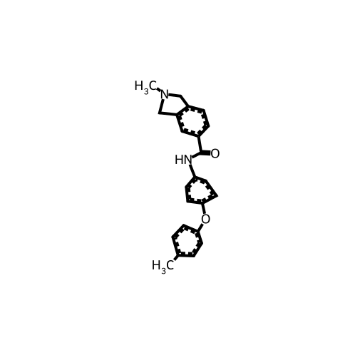 Cc1ccc(Oc2ccc(NC(=O)c3ccc4c(c3)CN(C)C4)cc2)cc1